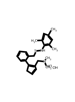 Cc1cc(C)c([NH][Ti][CH2]c2ccccc2C2=C(CN(C)C)C=CC2)c(C)c1.Cl.Cl